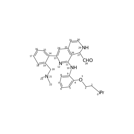 CC(C)CCOc1ccccc1Nc1nc(-c2ccccc2CN(C)C)cc2c1C(C=O)NC=C2